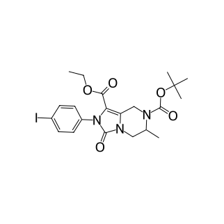 CCOC(=O)c1c2n(c(=O)n1-c1ccc(I)cc1)CC(C)N(C(=O)OC(C)(C)C)C2